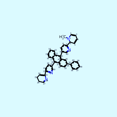 CN1C=CC=CC1c1ccc(-c2c3ccccc3c(-c3ccc(C4=CCCC=N4)nc3)c3ccc(-c4ccccc4)cc23)cn1